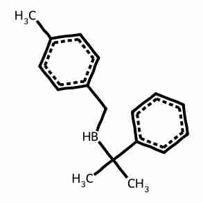 Cc1ccc(CBC(C)(C)c2ccccc2)cc1